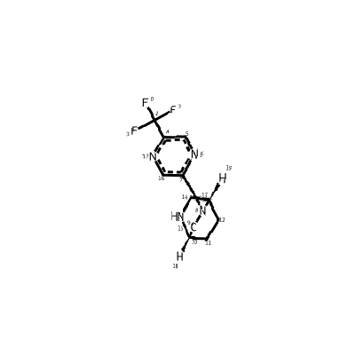 FC(F)(F)c1cnc(N2C[C@@H]3CC[C@H]2CN3)cn1